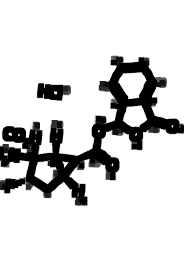 Cl.N[C@]1(C(=O)O)[C@H]2[C@@H](C[C@@H]1F)[C@@H]2C(=O)OC1OC(=O)c2ccccc21